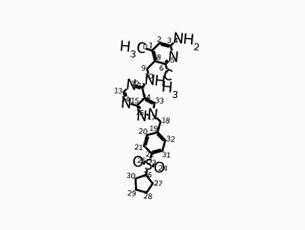 Cc1cc(N)nc(C)c1CNc1ncnc2nn(Cc3ccc(S(=O)(=O)C4CCCC4)cc3)cc12